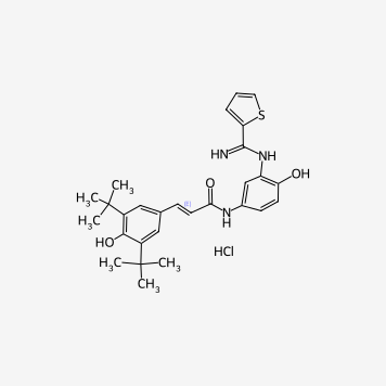 CC(C)(C)c1cc(/C=C/C(=O)Nc2ccc(O)c(NC(=N)c3cccs3)c2)cc(C(C)(C)C)c1O.Cl